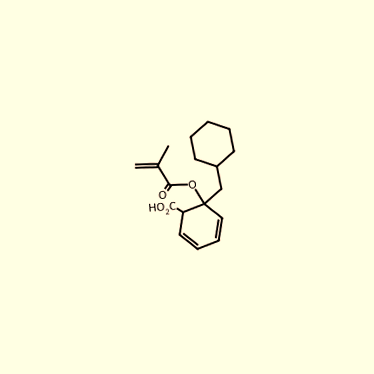 C=C(C)C(=O)OC1(CC2CCCCC2)C=CC=CC1C(=O)O